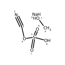 CO.N#COS(=O)(=O)O.[NaH]